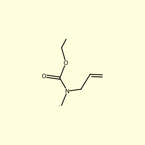 [CH2]N(CC=C)C(=O)OCC